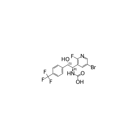 O=C(O)N[C@H](c1cc(Br)cnc1F)[C@@H](O)c1ccc(C(F)(F)F)cc1